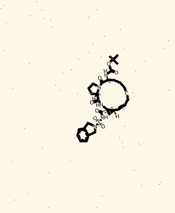 CC(C)(C)OC(=O)N[C@H]1CCCCC/C=C\[C@@H]2C[C@@]2(C(=O)NS(=O)(=O)N2Cc3ccccc3C2)NC(=O)[C@@H]2CCCN2C1=O